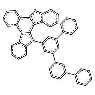 c1ccc(-c2cccc(-c3cc(-c4ccccc4)cc(-n4c5ccccc5c5c6ccccc6c6oc7ccccc7c6c54)c3)c2)cc1